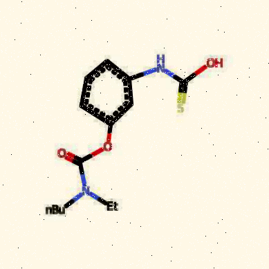 CCCCN(CC)C(=O)Oc1cccc(NC(O)=S)c1